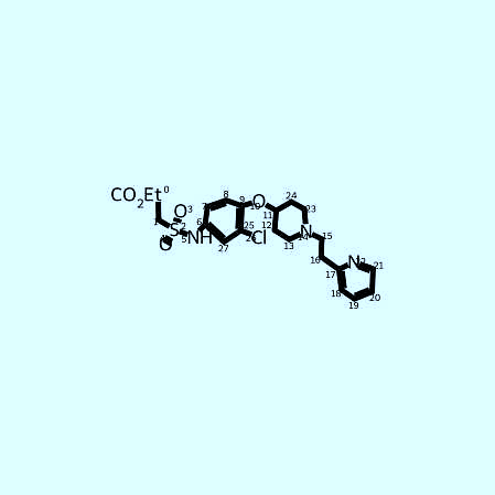 CCOC(=O)CS(=O)(=O)Nc1ccc(OC2CCN(CCc3ccccn3)CC2)c(Cl)c1